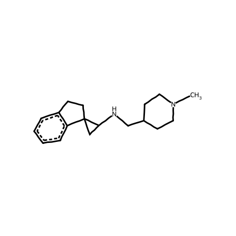 CN1CCC(CNC2CC23CCc2ccccc23)CC1